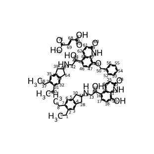 CCc1cc2c(cc1CC)CC(NC[C@H](O)c1ccc(O)c3[nH]c(=O)ccc13)C2.CCc1cc2c(cc1CC)CC(NC[C@H](O)c1ccc(OCc3ccccc3)c3[nH]c(=O)ccc13)C2.O=C(O)C=CC(=O)O